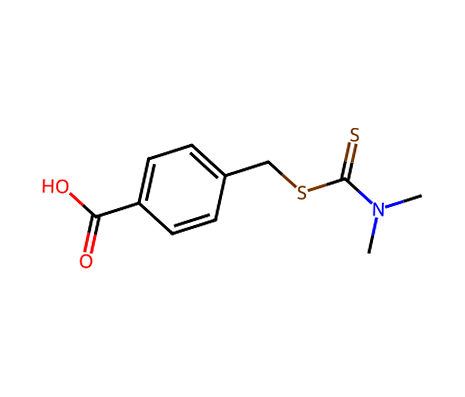 CN(C)C(=S)SCc1ccc(C(=O)O)cc1